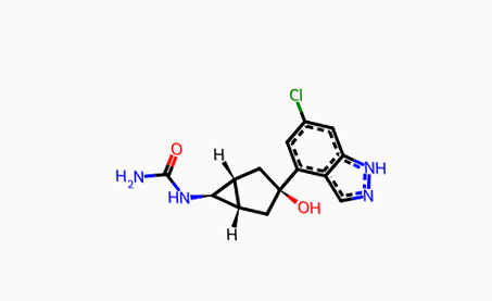 NC(=O)N[C@H]1[C@@H]2C[C@](O)(c3cc(Cl)cc4[nH]ncc34)C[C@@H]21